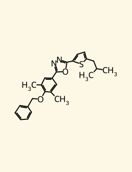 Cc1cc(-c2nnc(-c3ccc(CC(C)C)s3)o2)cc(C)c1OCc1ccccc1